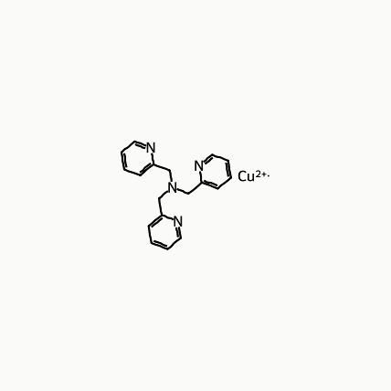 [Cu+2].c1ccc(CN(Cc2ccccn2)Cc2ccccn2)nc1